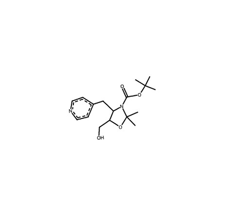 CC(C)(C)OC(=O)N1C(Cc2ccncc2)C(CO)OC1(C)C